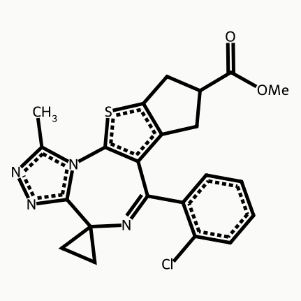 COC(=O)C1Cc2sc3c(c2C1)C(c1ccccc1Cl)=NC1(CC1)c1nnc(C)n1-3